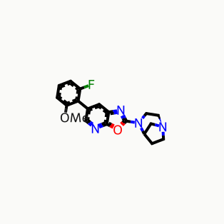 COc1cccc(F)c1-c1cnc2oc(N3CC[N@@]4CCC3C4)nc2c1